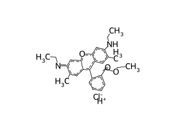 CCN=c1cc2oc3cc(NCC)c(C)cc3c(-c3ccccc3C(=O)OCC)c-2cc1C.[Cl-].[H+]